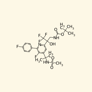 CC(C)(C)OC(=O)NCC(O)(c1cc(C(C)(C)NS(C)(=O)=O)c(F)c(-c2ccc(F)cc2)n1)C(F)(F)F